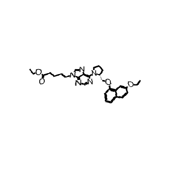 CCOC(=O)CCCCn1cnc2c(N3CCC[C@@H]3COc3cccc4ccc(OCC)cc34)ncnc21